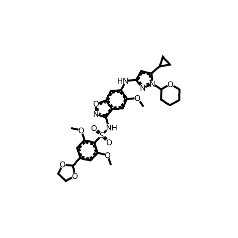 COc1cc2c(NS(=O)(=O)c3c(OC)cc(C4OCCO4)cc3OC)noc2cc1Nc1cc(C2CC2)n(C2CCCCO2)n1